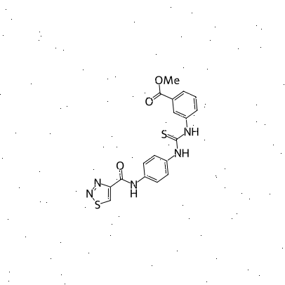 COC(=O)c1cccc(NC(=S)Nc2ccc(NC(=O)c3csnn3)cc2)c1